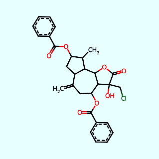 C=C1CC(OC(=O)c2ccccc2)C2C(OC(=O)C2(O)CCl)C2C1CC(OC(=O)c1ccccc1)C2C